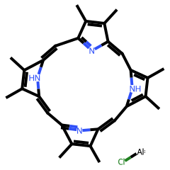 CC1=C(C)c2cc3[nH]c(cc4nc(cc5[nH]c(cc1n2)c(C)c5C)C(C)=C4C)c(C)c3C.[Al][Cl]